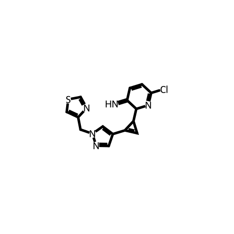 N=C1C=CC(Cl)=NC1C1C=C1c1cnn(Cc2cscn2)c1